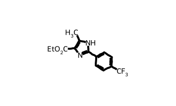 CCOC(=O)c1nc(-c2ccc(C(F)(F)F)cc2)[nH]c1C